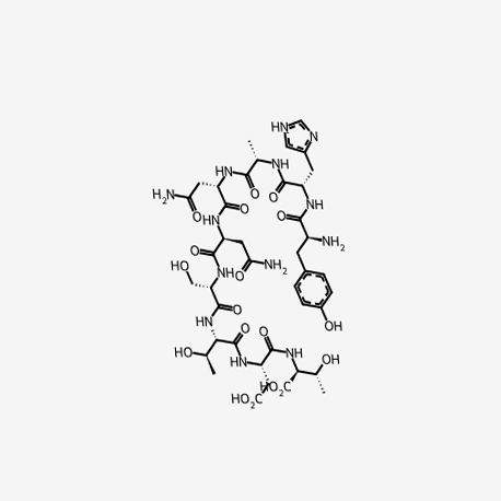 C[C@H](NC(=O)[C@H](Cc1c[nH]cn1)NC(=O)[C@@H](N)Cc1ccc(O)cc1)C(=O)N[C@@H](CC(N)=O)C(=O)N[C@@H](CC(N)=O)C(=O)N[C@@H](CO)C(=O)N[C@H](C(=O)N[C@@H](CC(=O)O)C(=O)N[C@H](C(=O)O)[C@@H](C)O)[C@@H](C)O